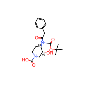 CC(C)(C)OC(=O)N(C(=O)Cc1ccccc1)[C@@H]1CCN(C(=O)O)C[C@H]1O